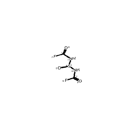 O=C(F)N[S+]([O-])NC(=O)F